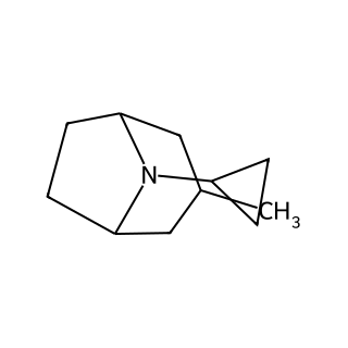 CC1CC2CCC(C1)N2C1CC1